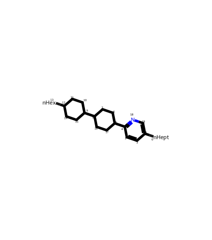 CCCCCCCc1ccc(C2CCC(C3CCC(CCCCCC)CC3)CC2)nc1